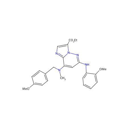 CCOC(=O)c1cnc2c(N(C)Cc3ccc(OC)cc3)cc(Nc3ccccc3OC)nn12